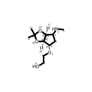 CNC1C[C@H](OCCO)[C@H]2OC(C)(C)O[C@@H]12